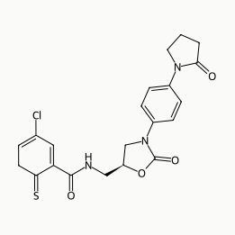 O=C(NC[C@H]1CN(c2ccc(N3CCCC3=O)cc2)C(=O)O1)C1=CC(Cl)=CCC1=S